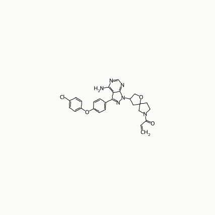 C=CC(=O)N1CCC2(CC(n3nc(-c4ccc(Oc5ccc(Cl)cc5)cc4)c4c(N)ncnc43)CO2)C1